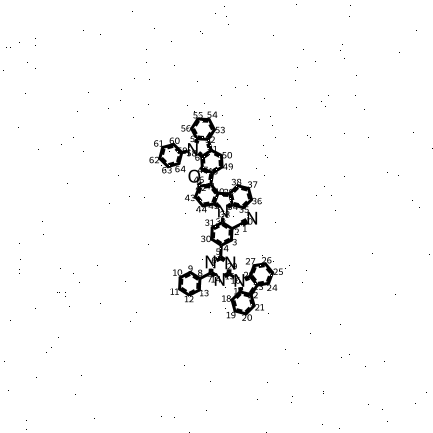 N#Cc1cc(-c2nc(-c3ccccc3)nc(-n3c4ccccc4c4ccccc43)n2)ccc1-n1c2ccccc2c2c3c(ccc21)oc1c3ccc2c3ccccc3n(-c3ccccc3)c21